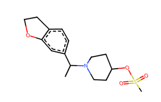 CC(c1ccc2c(c1)OCC2)N1CCC(OS(C)(=O)=O)CC1